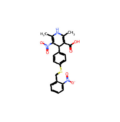 CC1=C(C(=O)O)C(c2ccc(SCc3ccccc3[N+](=O)[O-])cc2)C([N+](=O)[O-])=C(C)N1